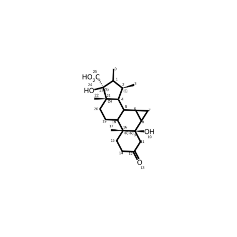 CC1[C@@H](C)C2C3C4CC4[C@]4(O)CC(=O)CC[C@]4(C)C3CC[C@]2(C)[C@]1(O)C(=O)O